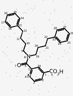 O=C(O)c1ccnc(C(=O)N(CCCCc2ccccc2)CCCCc2ccccc2)c1